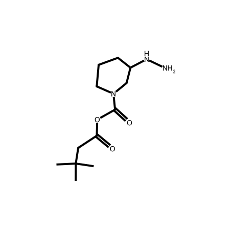 CC(C)(C)CC(=O)OC(=O)N1CCCC(NN)C1